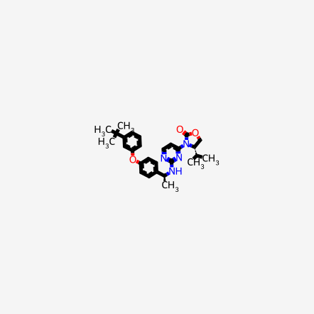 CC(C)[C@H]1COC(=O)N1c1ccnc(N[C@@H](C)c2ccc(Oc3cccc(C(C)(C)C)c3)cc2)n1